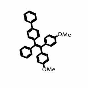 COc1ccc(C(=C(c2ccccc2)c2ccc(-c3ccccc3)cc2)c2ccc(OC)cc2)cc1